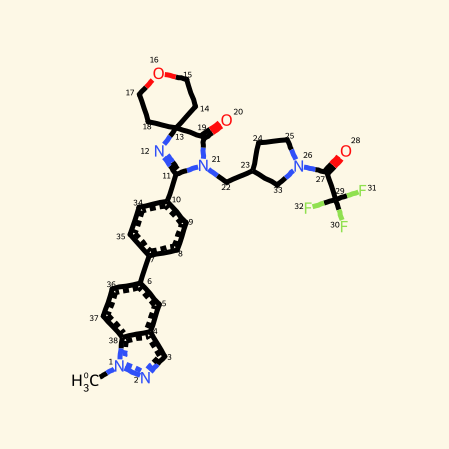 Cn1ncc2cc(-c3ccc(C4=NC5(CCOCC5)C(=O)N4CC4CCN(C(=O)C(F)(F)F)C4)cc3)ccc21